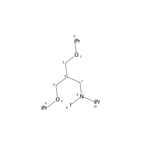 CC(C)OCC(COC(C)C)CN(I)C(C)C